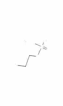 NCCSP(=O)(O)O.[NaH]